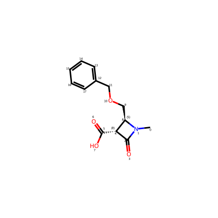 CN1C(=O)[C@H](C(=O)O)[C@H]1COCc1ccccc1